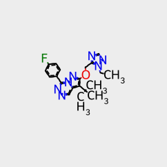 CCn1ncnc1COc1nn2c(-c3ccc(F)cc3)nncc2c1C(C)(C)C